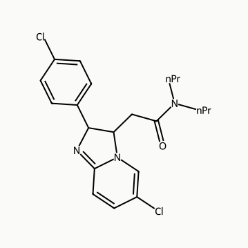 CCCN(CCC)C(=O)CC1C(c2ccc(Cl)cc2)N=C2C=CC(Cl)=CN21